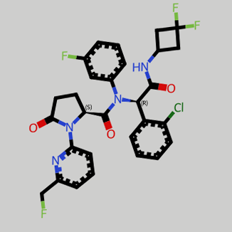 O=C(NC1CC(F)(F)C1)[C@@H](c1ccccc1Cl)N(C(=O)[C@@H]1CCC(=O)N1c1cccc(CF)n1)c1cccc(F)c1